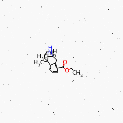 CCOC(=O)c1cccc2c1C[C@H]1NCCC2(C)C1(C)C